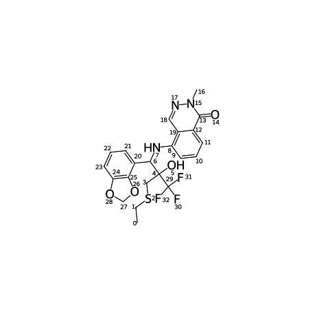 CCSCC(O)(C(Nc1cccc2c(=O)n(C)ncc12)c1cccc2c1OCO2)C(F)(F)F